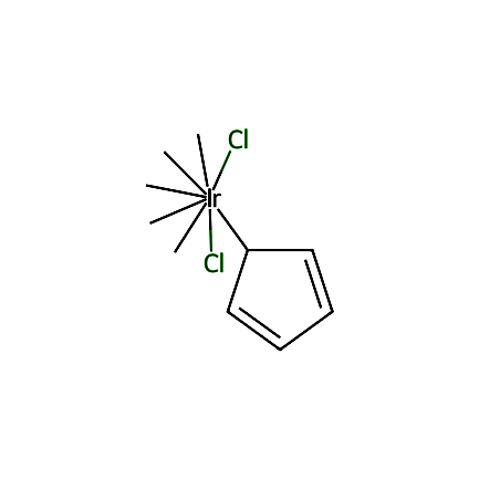 [CH3][Ir]([CH3])([CH3])([CH3])([CH3])([Cl])([Cl])[CH]1C=CC=C1